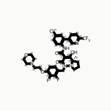 C[C@]12CCCN1N(Cc1ccc(OCCN3CCOCC3)c(F)c1F)C(=O)C(C(=O)Nc1ccc(Cl)cc1-c1ccc(C(F)(F)F)nc1)=C2O